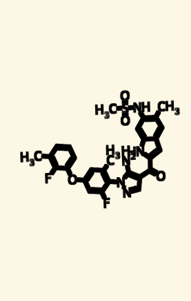 Cc1cc2cc(C(=O)c3cnn(-c4c(C)cc(Oc5cccc(C)c5F)cc4F)c3N)[nH]c2cc1NS(C)(=O)=O